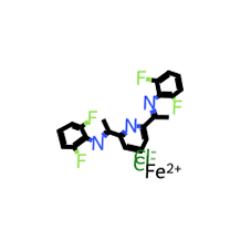 CC(=Nc1c(F)cccc1F)c1cccc(C(C)=Nc2c(F)cccc2F)n1.[Cl-].[Cl-].[Fe+2]